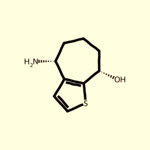 N[C@@H]1CCC[C@H](O)c2sccc21